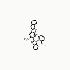 Cc1cc2c(cc1-c1nc3ccccc3n1-c1c(C)cccc1C)oc1c3ccccc3oc21